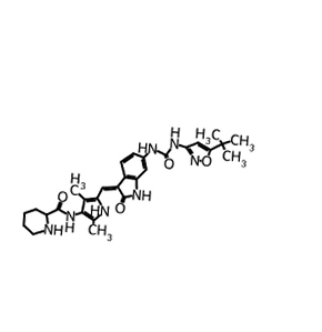 Cc1[nH]c(/C=C2\C(=O)Nc3cc(NC(=O)Nc4cc(C(C)(C)C)on4)ccc32)c(C)c1NC(=O)C1CCCCN1